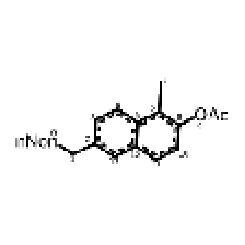 CCCCCCCCCCc1ccc2c(I)c(OC(C)=O)ccc2c1